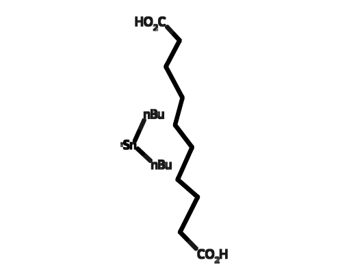 CCC[CH2][Sn][CH2]CCC.O=C(O)CCCCCCCCC(=O)O